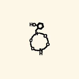 Oc1ccccc1CN1CCOCCOCCNCCOCCOCC1